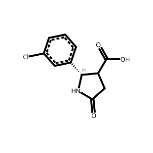 O=C1CC(C(=O)O)[C@@H](c2cccc(Cl)c2)N1